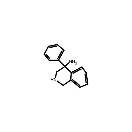 NC1(c2ccccc2)CNCc2ccccc21